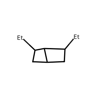 CCC1CC2CC(CC)C12